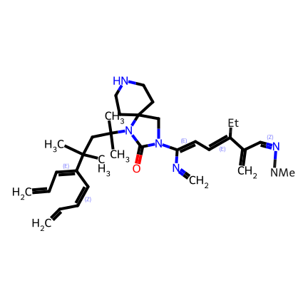 C=C/C=C\C(=C/C=C)C(C)(C)CC(C)(C)N1C(=O)N(/C(=C/C=C(\CC)C(=C)/C=N\NC)N=C)CC12CCNCC2